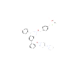 O=C(Cc1ccc(Br)cc1)N(CCc1ccc(O)cc1)Cc1cccc(-c2ccccc2C(=O)N2CCC(N3CCCCC3)CC2)c1.O=C(O)C(F)(F)F